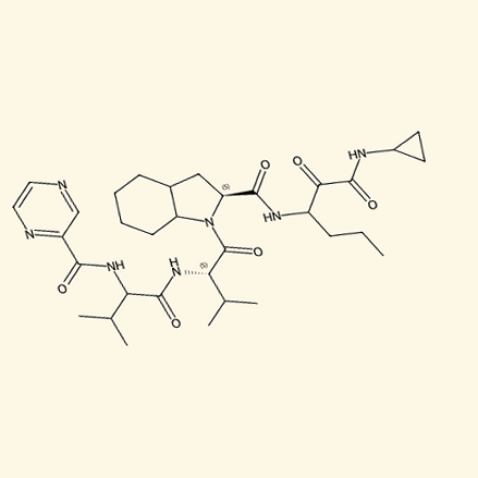 CCCC(NC(=O)[C@@H]1CC2CCCCC2N1C(=O)[C@@H](NC(=O)C(NC(=O)c1cnccn1)C(C)C)C(C)C)C(=O)C(=O)NC1CC1